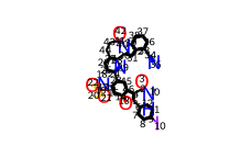 CNC(=O)c1c(-c2ccc(I)cc2)oc2cc(N(C)S(C)(=O)=O)c(-c3ccc4c(n3)-c3cc5c(C#N)cccc5n3C(=O)CC4)cc12